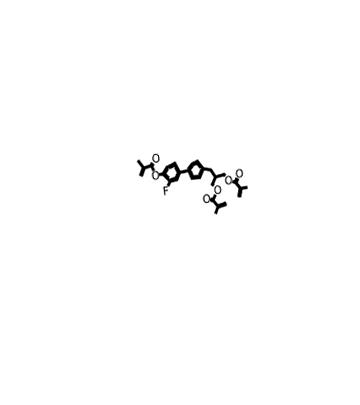 C=C(C)C(=O)OCC(COC(=O)C(=C)C)Cc1ccc(-c2ccc(OC(=O)C(=C)C)c(F)c2)cc1